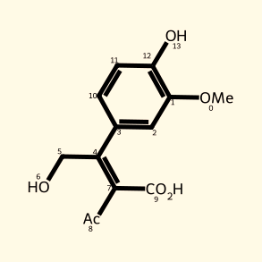 COc1cc(C(CO)=C(C(C)=O)C(=O)O)ccc1O